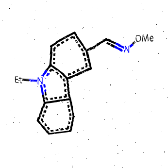 CCn1c2ccccc2c2cc(C=NOC)ccc21